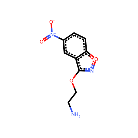 NCCOc1noc2ccc([N+](=O)[O-])cc12